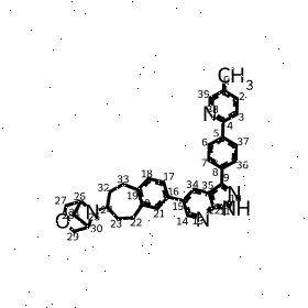 Cc1ccc(-c2ccc(-c3n[nH]c4ncc(-c5ccc6c(c5)CC[C@@H](N5C7COCC5C7)CC6)cc34)cc2)nc1